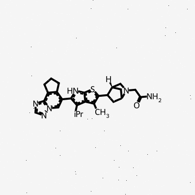 Cc1c(C2CC3C[C@H]2CN3CC(N)=O)sc2[nH]c(-c3cn4ncnc4c4c3CCC4)c(C(C)C)c12